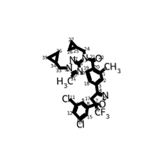 Cc1cc(C2=NOC(c3cc(Cl)cc(Cl)c3)(C(F)(F)F)C2)ccc1C(=O)N(CC1CC1)c1nc(C)n(CC2CC2)n1